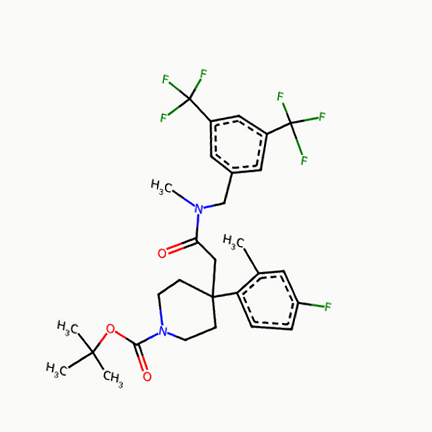 Cc1cc(F)ccc1C1(CC(=O)N(C)Cc2cc(C(F)(F)F)cc(C(F)(F)F)c2)CCN(C(=O)OC(C)(C)C)CC1